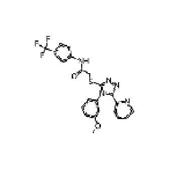 COc1cccc(-n2c(SCC(=O)Nc3ccc(C(F)(F)F)cc3)nnc2-c2ccccn2)c1